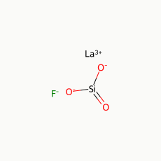 O=[Si]([O-])[O-].[F-].[La+3]